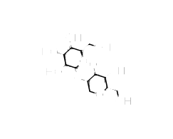 OC[C@H]1O[C@H](O[C@@H]2CO[C@H](CO)[C@@H](O)[C@@H]2O)[C@@H](O)[C@@H](O)[C@@H]1O